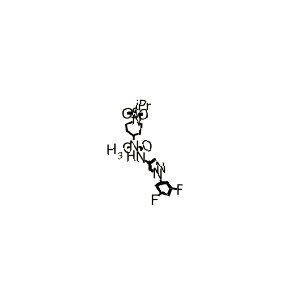 CC(C)S(=O)(=O)N1CCC(N(C)C(=O)Nc2cnn(-c3cc(F)cc(F)c3)c2)CC1